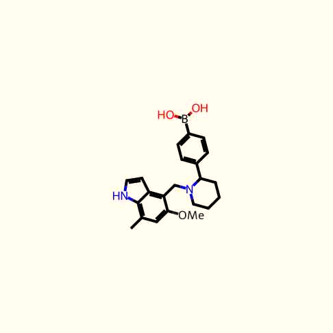 COc1cc(C)c2[nH]ccc2c1CN1CCCCC1c1ccc(B(O)O)cc1